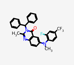 Cc1nc2ccc(N(C)c3ccc(C(F)(F)F)cc3F)cc2c(=O)n1C(c1ccccc1)c1ccccc1